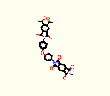 CC(=O)c1cc2c(cc1C(C)=O)C(=O)N(c1ccc(Oc3ccc(-n4c(=O)c5cc6c(=O)n(C)c(=O)c6cc5c4=O)cc3)cc1)C2=O